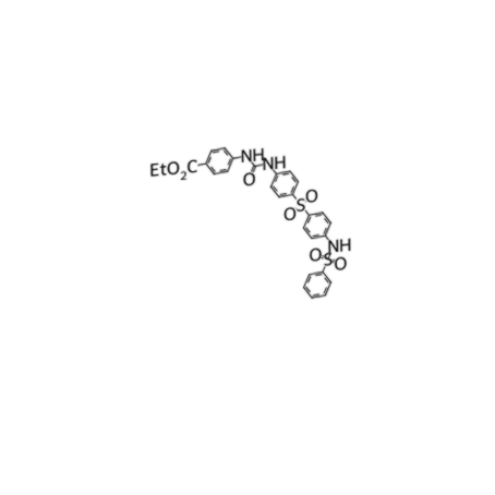 CCOC(=O)c1ccc(NC(=O)Nc2ccc(S(=O)(=O)c3ccc(NS(=O)(=O)c4ccccc4)cc3)cc2)cc1